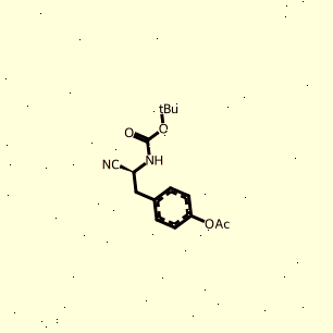 CC(=O)Oc1ccc(C[C@@H](C#N)NC(=O)OC(C)(C)C)cc1